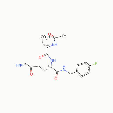 CC(C)C(=O)N[C@@H](CC(=O)O)C(=O)N[C@@H](CCC(=O)C=N)C(=O)NCc1ccc(F)cc1